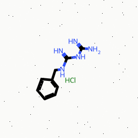 Cl.N=C(N)NC(=N)NCc1ccccc1